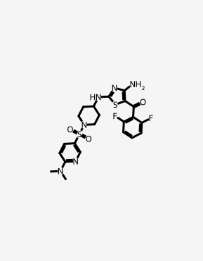 CN(C)c1ccc(S(=O)(=O)N2CCC(Nc3nc(N)c(C(=O)c4c(F)cccc4F)s3)CC2)cn1